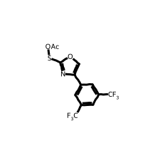 CC(=O)OSc1nc(-c2cc(C(F)(F)F)cc(C(F)(F)F)c2)co1